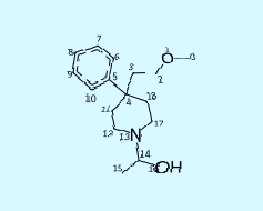 COCCC1(c2ccccc2)CCN(C(C)O)CC1